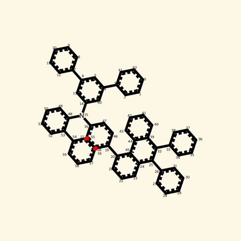 c1ccc(-c2cc(-c3ccccc3)cc(N(c3ccc(-c4cccc5c(-c6ccccc6)c(-c6ccccc6)c6ccccc6c45)cc3)c3ccccc3-c3ccccc3)c2)cc1